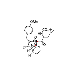 COc1ccc(CN2C(=O)[C@H]3[C@@H]4CC[C@H]([C@H]3C2=O)C(C#N)(NC(=O)[C@H](CC2CC2)NC(=O)O)C4)cc1